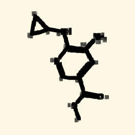 COC(=O)c1cnc(NC2CC2)c(N)c1